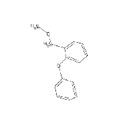 [SiH3]O[SiH2]c1ccccc1Oc1ccccc1